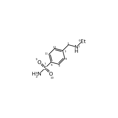 CCNCc1ccc(S(N)(=O)=O)cc1